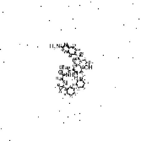 CC(C)CN(C[C@@H](O)[C@H](Cc1ccccc1)NC(=O)[C@@H](NC(=O)[C@@H](C)NC1(c2ccccc2)CC1)C(C)(C)C)S(=O)(=O)c1ccc2nc(N)sc2c1